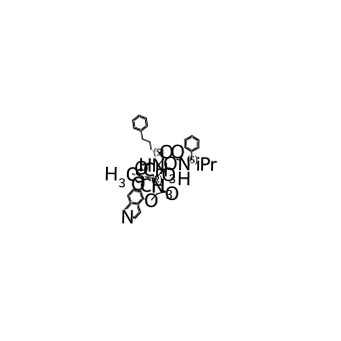 CC(C)[C@H](NC(=O)OC1(NC(=O)[C@@H](N2C(=O)C2Oc2cccc3cnccc23)C(C)(C)S(C)(=O)=O)O[C@H]1CCCc1ccccc1)c1ccccc1